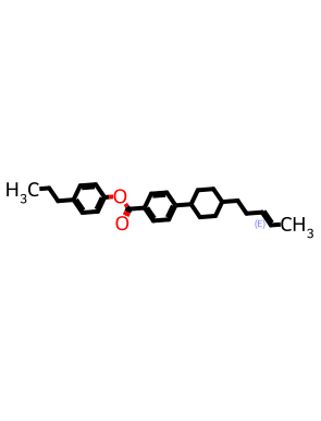 C/C=C/CCC1CCC(c2ccc(C(=O)Oc3ccc(CCC)cc3)cc2)CC1